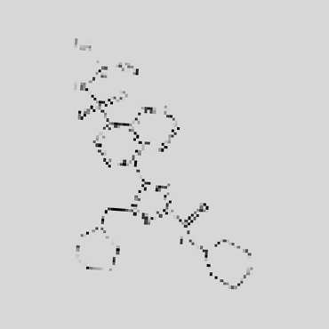 C[C@H](NS(=O)(=O)c1ccc(-c2sc(C(=O)NC3CCOCC3)nc2CC2CCCCC2)c2ccccc12)C(F)(F)F